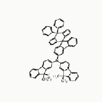 CC1(C)c2ccccc2-c2ccc(N(c3ccc4c(c3)-c3ccccc3C43c4ccccc4C(c4ccccc4)(c4ccccc4)c4ccccc43)c3ccc4c(c3)C(C)(C)c3ccccc3-4)cc21